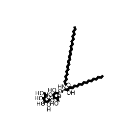 CCCCCCCCCCCCC/C=C/[C@@H](O)[C@H](CO[C@@H]1OC(CO)[C@H](O[C@@H]2OC(CO)[C@H](O)[C@H](O)C2O)[C@H](O)C1O)NC(=O)CCCCCCCCCCCCCCCCCCCCCCC